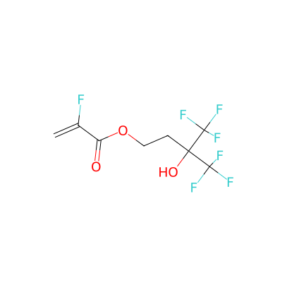 C=C(F)C(=O)OCCC(O)(C(F)(F)F)C(F)(F)F